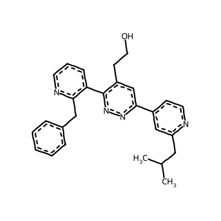 CC(C)Cc1cc(-c2cc(CCO)c(-c3cccnc3Cc3ccccc3)nn2)ccn1